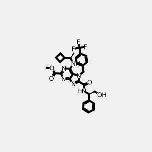 COC(=O)c1nc(N[C@H](C)C2CCC2)c2c(n1)nc(C(=O)N[C@@H](CO)c1ccccc1)n2Cc1ccc(C(F)(F)F)cc1